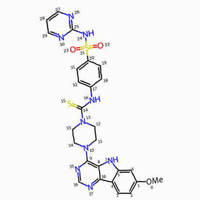 COc1ccc2c(c1)[nH]c1c(N3CCN(C(=S)Nc4ccc(S(=O)(=O)Nc5ncccn5)cc4)CC3)ncnc12